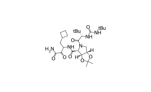 CC(C)(C)NC(=O)N[C@H](C(=O)N1C[C@@H]2OC(C)(C)O[C@@H]2[C@H]1C(=O)NC(CC1CCC1)C(=O)C(N)=O)C(C)(C)C